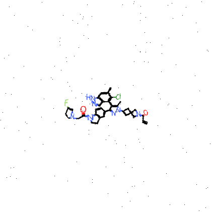 C=CC(=O)N1CC2(CC(n3nc(-c4ccc5c(c4)CCN5C(=O)CN4CCC(F)C4)c(-c4c(Cl)c(C)cc5[nH]ncc45)c3C)C2)C1